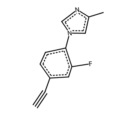 C#Cc1ccc(-n2cnc(C)c2)c(F)c1